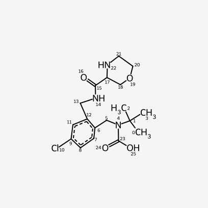 CC(C)(C)N(Cc1ccc(Cl)cc1CNC(=O)C1COCCN1)C(=O)O